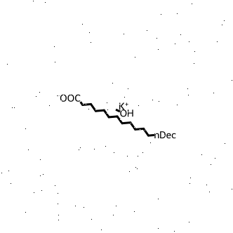 CCCCCCCCCCCCCCCCCCCCCC(=O)[O-].CO.[K+]